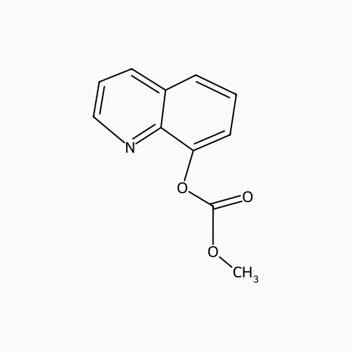 COC(=O)Oc1cccc2cccnc12